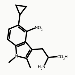 Cc1c(CC(N)C(=O)O)c2c([N+](=O)[O-])c(C3CC3)ccc2n1C